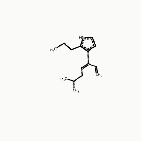 C=C/C(=C\CC(C)C)c1cc[nH]c1CCC